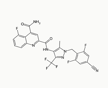 Cc1c(NC(=O)c2cc(C(N)=O)c3c(F)cccc3n2)c(C(F)(F)F)nn1Cc1c(F)cc(C#N)cc1F